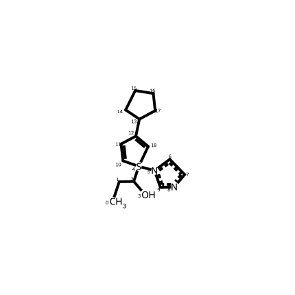 CCC(O)S1(n2ccnc2)C=CC(C2CCCC2)=C1